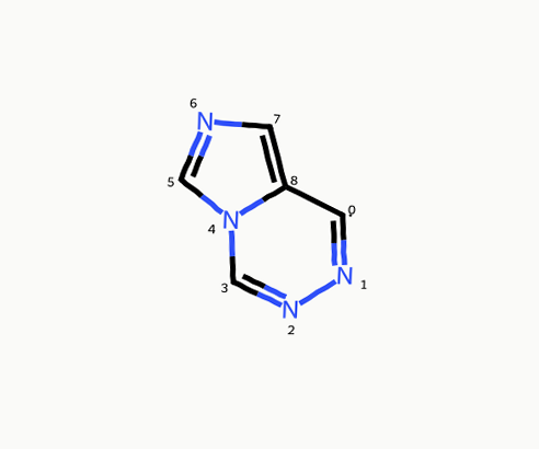 [c]1nncn2cncc12